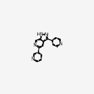 c1cncc(-c2cc3c(-c4ccncc4)n[nH]c3cn2)c1